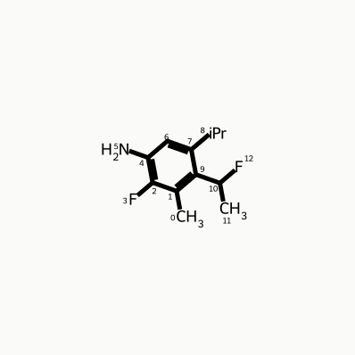 Cc1c(F)c(N)cc(C(C)C)c1C(C)F